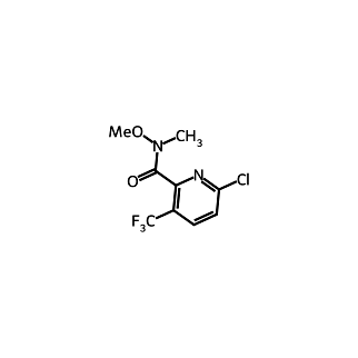 CON(C)C(=O)c1nc(Cl)ccc1C(F)(F)F